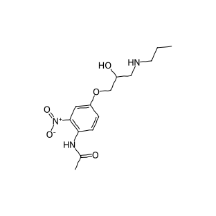 CCCNCC(O)COc1ccc(NC(C)=O)c([N+](=O)[O-])c1